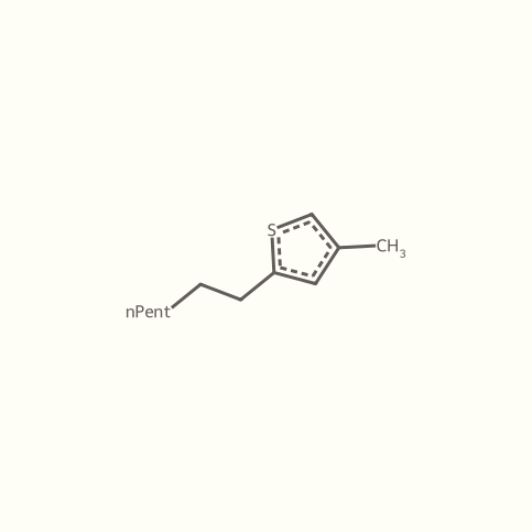 CCCCCCCc1cc(C)cs1